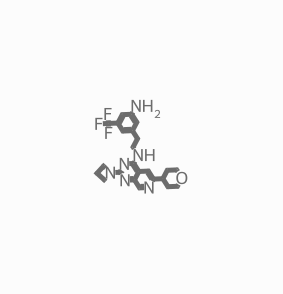 Nc1cc(CCNc2nc(N3CCC3)nc3cnc(C4CCOCC4)cc23)cc(C(F)(F)F)c1